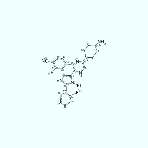 CCn1c(-c2ncc(N3CCC(N)CC3)nc2-c2ccc(C#N)c(F)c2)cnc1-c1ccccc1F